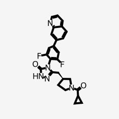 O=C(C1CC1)N1CC[C@@H](Cc2n[nH]c(=O)n2-c2c(F)cc(-c3ccc4cccnc4c3)cc2F)C1